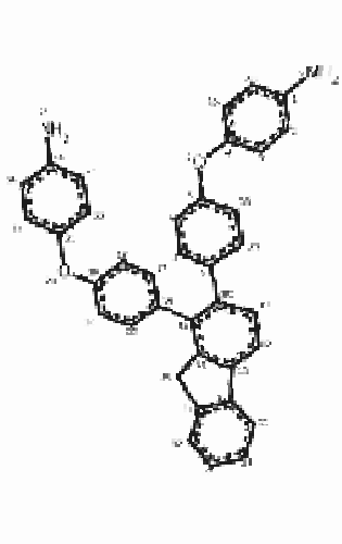 Nc1ccc(Oc2ccc(-c3ccc4c(c3-c3ccc(Oc5ccc(N)cc5)cc3)Cc3ccccc3-4)cc2)cc1